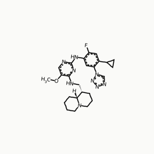 COc1cnc(Nc2cc(-n3cnnn3)c(C3CC3)cc2F)nc1NC[C@@H]1CCCN2CCCC[C@H]12